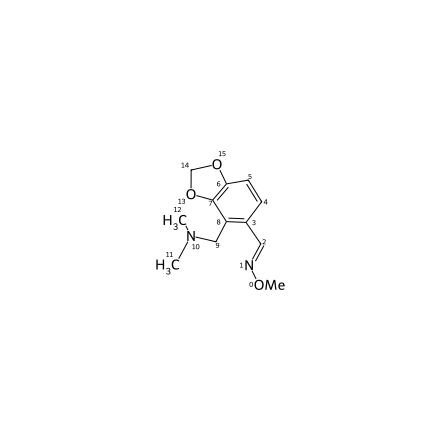 CON=Cc1ccc2c(c1CN(C)C)OCO2